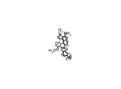 CO[C@H]1COCC[C@@H]1N(Cc1ccc(C(F)(F)F)cn1)C(=O)c1ccc2nc(N)c3c(c2c1)COC3C